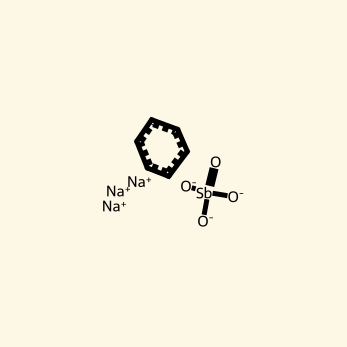 [Na+].[Na+].[Na+].[O]=[Sb]([O-])([O-])[O-].c1ccccc1